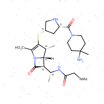 CNCC(=O)N[C@H](C)[C@H]1C(=O)N2C(C(=O)O)=C(S[C@@H]3CN[C@H](C(=O)N4CCC(C)(N)CC4)C3)[C@H](C)[C@H]12